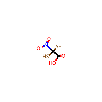 O=C(O)C(S)(S)[N+](=O)[O-]